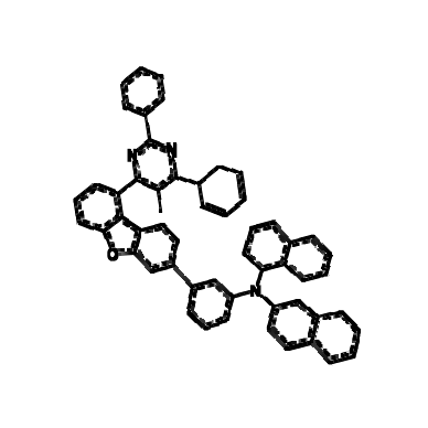 Cc1c(-c2cccc3oc4cc(-c5cccc(N(c6ccc7ccccc7c6)c6cccc7ccccc67)c5)ccc4c23)nc(-c2ccccc2)nc1C1C=CC=CC1